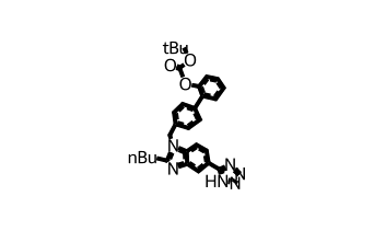 CCCCc1nc2cc(-c3nnn[nH]3)ccc2n1Cc1ccc(-c2ccccc2OC(=O)OC(C)(C)C)cc1